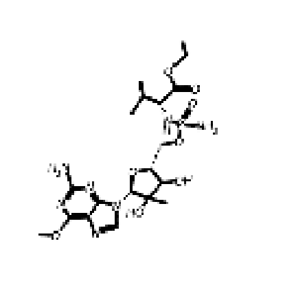 CCOC(=O)[C@H](NP(N)(=O)OC[C@H]1O[C@@H](n2cnc3c(OC)nc(N)nc32)C(C)(O)C1O)C(C)C